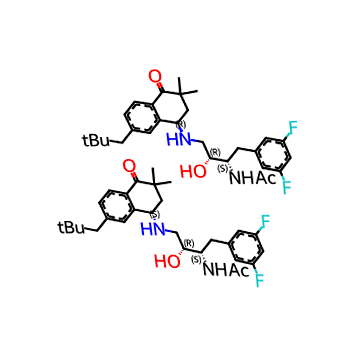 CC(=O)N[C@@H](Cc1cc(F)cc(F)c1)[C@H](O)CN[C@@H]1CC(C)(C)C(=O)c2ccc(CC(C)(C)C)cc21.CC(=O)N[C@@H](Cc1cc(F)cc(F)c1)[C@H](O)CN[C@H]1CC(C)(C)C(=O)c2ccc(CC(C)(C)C)cc21